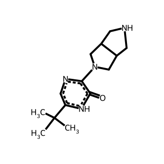 CC(C)(C)c1cnc(N2CC3CNCC3C2)c(=O)[nH]1